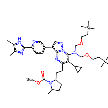 Cc1nc(-c2ccc(-c3cnn4c(N(COCC[Si](C)(C)C)COCC[Si](C)(C)C)c(C5CC5)c(CCC5CCC(C)N5C(=O)OC(C)(C)C)nc34)cn2)[nH]c1C